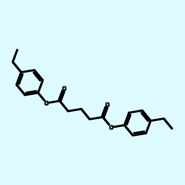 CCc1ccc(OC(=O)CCCC(=O)Oc2ccc(CC)cc2)cc1